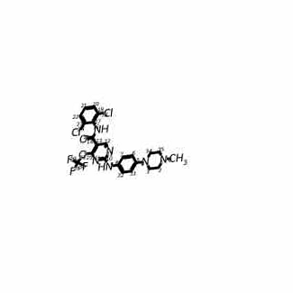 CN1CCN(c2ccc(Nc3ncc(C(=O)Nc4c(Cl)cccc4Cl)c(OC(F)(F)F)n3)cc2)CC1